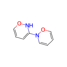 C1=CONC(N2C=CC=CO2)=C1